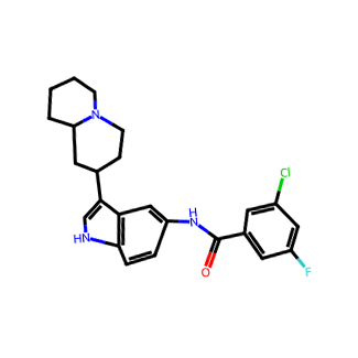 O=C(Nc1ccc2[nH]cc(C3CCN4CCCCC4C3)c2c1)c1cc(F)cc(Cl)c1